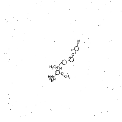 CCOc1cc(-c2nnn[nH]2)cc2c1nc(CN1CCC(c3cccc(OCc4ccc(C#N)cc4F)n3)CC1)n2C